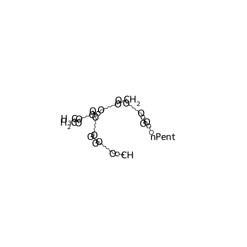 C#Cc1ccc(OCCCCCCCCOC(=O)CCC(=O)OCCCCCCCCOc2ccc(OCCCCCCCCOC(=O)CCC(=C)OCCCCCCCCOc3ccc(C(=O)Oc4ccc(C5CCC(CCCCC)CC5)cc4)cc3)cc2C(=O)OCCCCCCOC(=O)C(=C)C)cc1